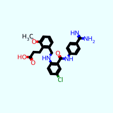 COc1cccc(CNc2ccc(Cl)cc2C(=O)Nc2ccc(C(=N)N)cc2)c1CCC(=O)O